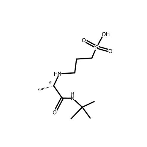 C[C@H](NCCCS(=O)(=O)O)C(=O)NC(C)(C)C